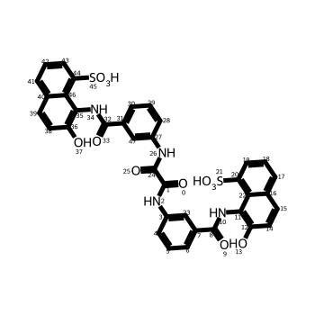 O=C(Nc1cccc(C(=O)Nc2c(O)ccc3cccc(S(=O)(=O)O)c23)c1)C(=O)Nc1cccc(C(=O)Nc2c(O)ccc3cccc(S(=O)(=O)O)c23)c1